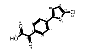 O=C(O)C(=O)c1ccc(-c2ccc(Cl)s2)cc1